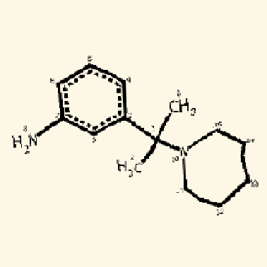 CC(C)(c1cccc(N)c1)N1CCCCC1